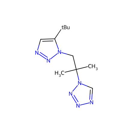 CC(C)(C)c1cnnn1CC(C)(C)n1cnnn1